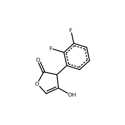 O=C1OC=C(O)C1c1cccc(F)c1F